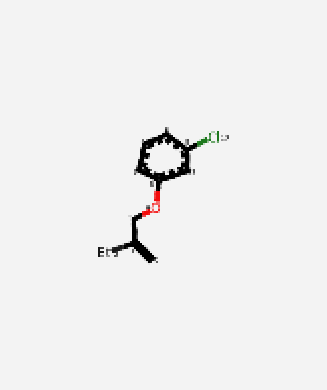 C=C(CC)COc1cccc(Cl)c1